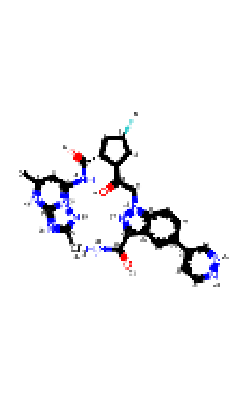 Cc1cc(NC(=O)[C@@H]2C[C@@H](F)CC2C(=O)Cn2nc(C(N)=O)c3cc(-c4ccnnc4)ccc32)n2nc(C(F)(F)F)nc2n1